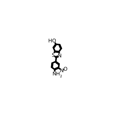 Nc1ccc(-c2nc3ccc(O)cc3s2)cc1N=O